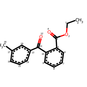 CCOC(=O)c1ccccc1C(=O)c1cccc(C)c1